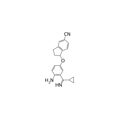 N#Cc1ccc2c(c1)CCC2Oc1ccc(N)c(C(=N)C2CC2)c1